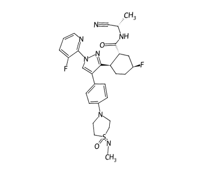 CN=S1(=O)CCN(c2ccc(-c3cn(-c4ncccc4F)nc3[C@@H]3CC[C@H](F)C[C@H]3C(=O)N[C@@H](C)C#N)cc2)CC1